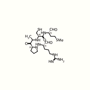 CSCC[C@@H](C=O)NC(=O)[C@H](CS)NC(C)C(=O)[C@@H]1CCCN1N[C@H](C=O)CCCNC(=N)N